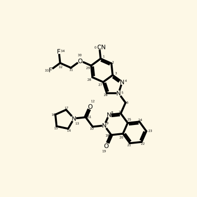 N#Cc1cc2nn(Cc3nn(CC(=O)N4CCCC4)c(=O)c4ccccc34)cc2cc1OCC(F)F